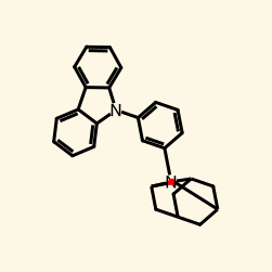 c1cc(N2C3CC4CC(C3)CC2C4)cc(-n2c3ccccc3c3ccccc32)c1